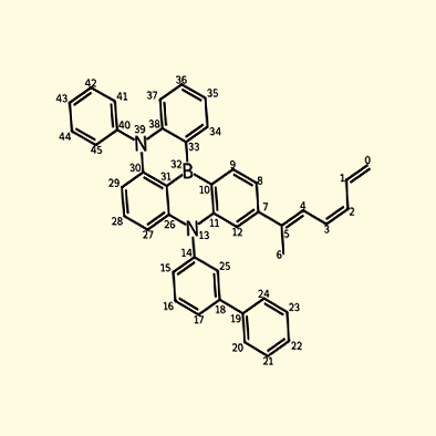 C=C/C=C\C=C(/C)c1ccc2c(c1)N(c1cccc(-c3ccccc3)c1)c1cccc3c1B2c1ccccc1N3c1ccccc1